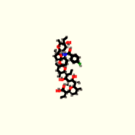 CCC(C(O)[C@@H](C)[C@@H](O)[C@H](C)[C@@H]1O[C@@H]([C@@H](CC)C(=O)O)CC[C@@H]1C)[C@H]1O[C@]2(C=C[C@@H](NC(=O)c3ccc(F)cc3)[C@]3(CC[C@@](C)([C@H]4CC[C@](O)(CC)[C@H](C)O4)O3)O2)[C@H](C)C[C@@H]1C